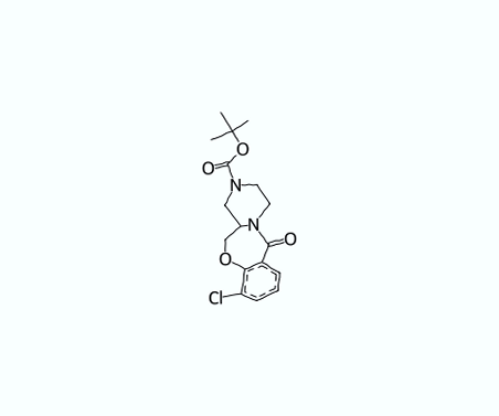 CC(C)(C)OC(=O)N1CCN2C(=O)c3cccc(Cl)c3OCC2C1